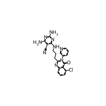 N#Cc1c(N)nc(N)nc1NCCCc1nc2cccc(Cl)c2c(=O)n1-c1cccnc1